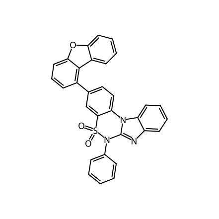 O=S1(=O)c2cc(-c3cccc4oc5ccccc5c34)ccc2-n2c(nc3ccccc32)N1c1ccccc1